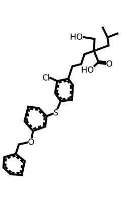 CC(C)CC(CO)(CCCc1ccc(Sc2cccc(OCc3ccccc3)c2)cc1Cl)C(=O)O